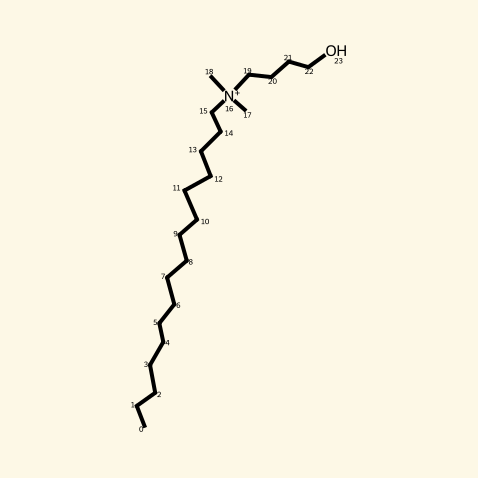 CCCCCCCCCCCCCCCC[N+](C)(C)CCCCO